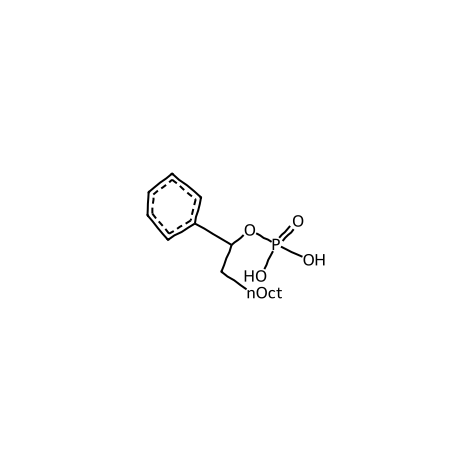 CCCCCCCCCC(OP(=O)(O)O)c1ccccc1